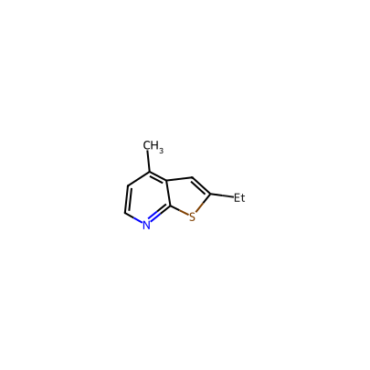 CCc1cc2c(C)ccnc2s1